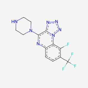 Fc1c(C(F)(F)F)ccc2nc(N3CCNCC3)c3nnnn3c12